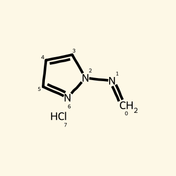 C=Nn1cccn1.Cl